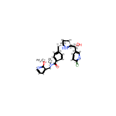 COc1ncccc1CN(C)C(=O)c1ccc(C[C@@H]2CC[C@H]([C@H](O)c3ccc(Cl)nc3)N2)cc1